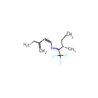 C=C(/C=C\N=C(/C(C)CC)C(F)(F)F)CC